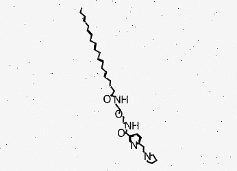 CCC=CCC=CCC=CCC=CCC=CCCCC(=O)NCCOCCNC(=O)c1ccc(CCN2CCCC2)nc1